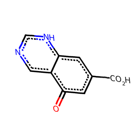 O=C(O)c1cc2[nH]cncc-2c(=O)c1